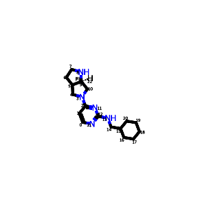 c1cc(N2CC3CCN[C@H]3C2)nc(NCC2CCCCC2)n1